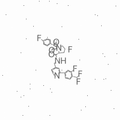 O=C(NCc1ccnc(-c2ccc(C(F)F)c(F)c2)c1)[C@@H]1C[C@@H](F)CN1S(=O)(=O)c1ccc(F)cc1